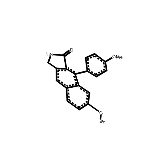 COc1ccc(-c2c3c(cc4ccc(OC(C)C)cc24)CNC3=O)cc1